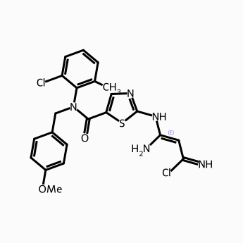 COc1ccc(CN(C(=O)c2cnc(N/C(N)=C/C(=N)Cl)s2)c2c(C)cccc2Cl)cc1